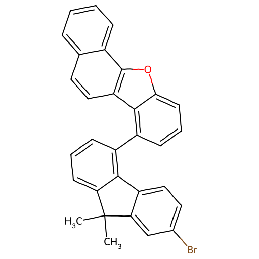 CC1(C)c2cc(Br)ccc2-c2c(-c3cccc4oc5c6ccccc6ccc5c34)cccc21